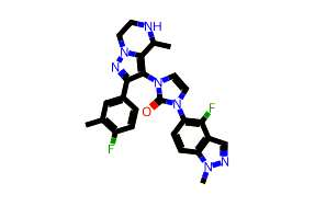 Cc1cc(-c2nn3c(c2-n2ccn(-c4ccc5c(cnn5C)c4F)c2=O)C(C)NCC3)ccc1F